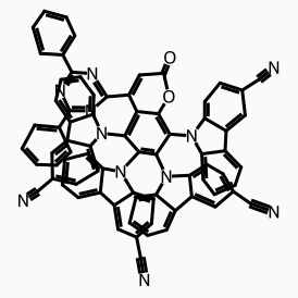 N#Cc1ccc2c(c1)c1ccccc1n2-c1c(-n2c3ccccc3c3cc(C#N)ccc32)c(-n2c3ccccc3c3cc(C#N)ccc32)c2c(-c3nc(-c4ccccc4)nc(-c4ccccc4)n3)cc(=O)oc2c1-n1c2ccccc2c2cc(C#N)ccc21